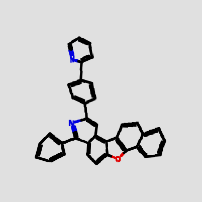 c1ccc(-c2nc(-c3ccc(-c4ccccn4)cc3)cc3c2ccc2oc4c5ccccc5ccc4c23)cc1